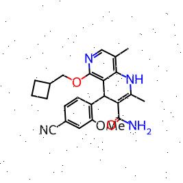 COc1cc(C#N)ccc1C1C(C(N)=O)=C(C)Nc2c(C)cnc(OCC3CCC3)c21